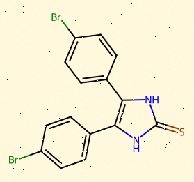 S=c1[nH]c(-c2ccc(Br)cc2)c(-c2ccc(Br)cc2)[nH]1